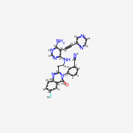 N#Cc1cccc(-n2c(CCNc3ncnc(N)c3C#Cc3cnccn3)nc3ccc(F)cc3c2=O)c1